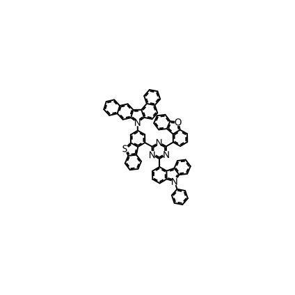 c1ccc(-n2c3ccccc3c3c(-c4nc(-c5cccc6oc7ccccc7c56)nc(-c5cc(-n6c7cc8ccccc8cc7c7c8ccccc8ccc76)cc6sc7ccccc7c56)n4)cccc32)cc1